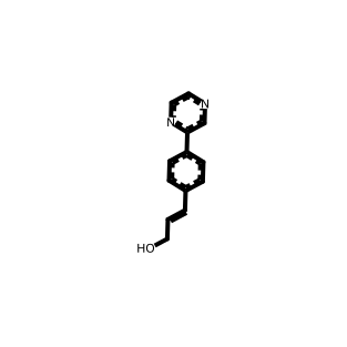 OCC=Cc1ccc(-c2cnccn2)cc1